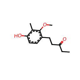 CCC(=O)CCc1ccc(O)c(C)c1OC